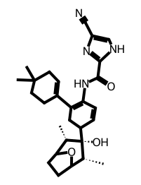 C[C@@H]1C2CCC(O2)[C@H](C)[C@@]1(O)C1C=CC(NC(=O)c2nc(C#N)c[nH]2)=C(C2=CCC(C)(C)CC2)C1